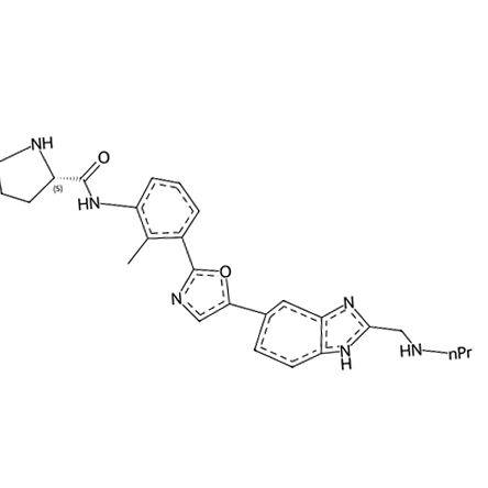 CCCNCc1nc2cc(-c3cnc(-c4cccc(NC(=O)[C@@H]5CCCN5)c4C)o3)ccc2[nH]1